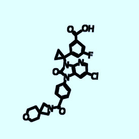 O=C(O)c1cc(F)cc(C2(n3c(=O)n(-c4ccc(C(=O)N5CC6(CCOCC6)C5)cc4)c4cc(Cl)cnc43)CC2)c1